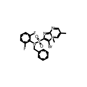 CC1=C[N+]2(C)C(=NC(S(=O)(=O)N(Cc3ccccc3)c3c(F)cccc3F)=C2Br)N=C1